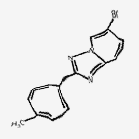 Cc1ccc(-c2nc3ccc(Br)cn3n2)cc1